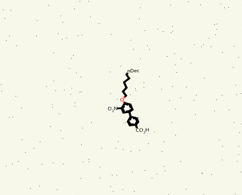 CCCCCCCCCCCCCCCCOc1ccc(-c2ccc(C(=O)O)cc2)cc1[N+](=O)[O-]